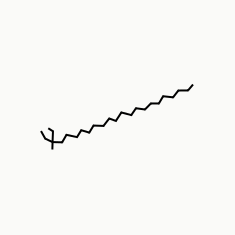 CCCCCCCCCCCCCCCCCCCCC(C)(CC)CC